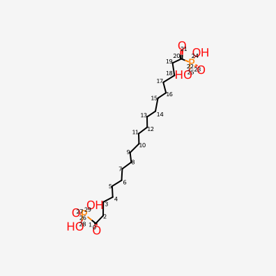 O=C(CCCCCCCCCCCCCCCCCCC(=O)P(=O)(O)O)P(=O)(O)O